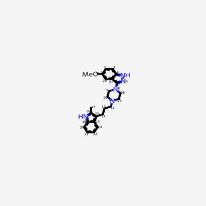 COc1ccc2[nH]nc(N3CCN(CCCc4c(C)[nH]c5ccccc45)CC3)c2c1